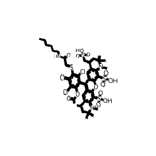 CCCCCCNC(=O)CSc1c(Cl)c(Cl)c(OC(C)=O)c(C2=c3cc4c(c(S(=O)(=O)O)c3Oc3c2cc2c(c3S(=O)(=O)O)N(C)C(C)(C)CC2CS(=O)(=O)O)=[N+](C)C(C)(C)CC4C)c1Cl